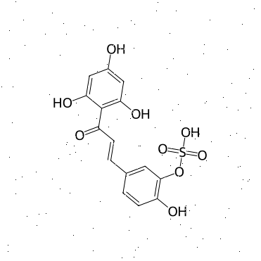 O=C(C=Cc1ccc(O)c(OS(=O)(=O)O)c1)c1c(O)cc(O)cc1O